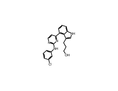 OCCCc1c[nH]c2cccc(-c3ccnc(Nc4cccc(Cl)c4)n3)c12